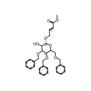 COC(=O)/C=C/CO[C@@H]1OC(COCc2ccccc2)[C@@H](OCc2ccccc2)C(OCc2ccccc2)C1O